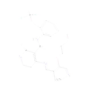 COCCOc1cnccc1CNC1=C(C(=S)Nc2ccccc2OC(F)(F)F)C(=O)NCC1